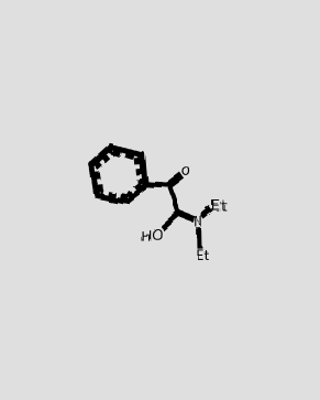 CCN(CC)[C](O)C(=O)c1ccccc1